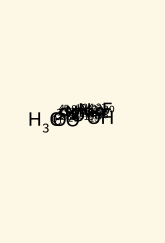 COc1cccc(N2CC(CN3CCC(O)(c4ccc(F)cc4)CC3)OC2=O)c1